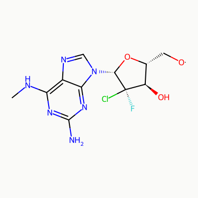 CNc1nc(N)nc2c1ncn2[C@@H]1O[C@H](C[O])[C@@H](O)[C@@]1(F)Cl